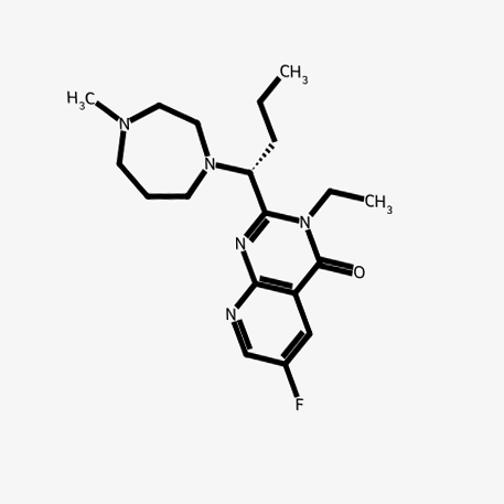 CCC[C@H](c1nc2ncc(F)cc2c(=O)n1CC)N1CCCN(C)CC1